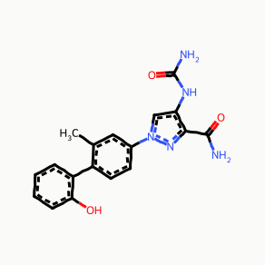 Cc1cc(-n2cc(NC(N)=O)c(C(N)=O)n2)ccc1-c1ccccc1O